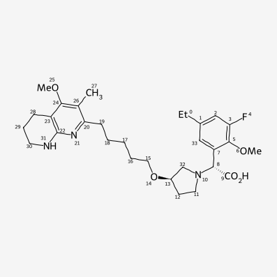 CCc1cc(F)c(OC)c([C@H](C(=O)O)N2CC[C@@H](OCCCCCc3nc4c(c(OC)c3C)CCCN4)C2)c1